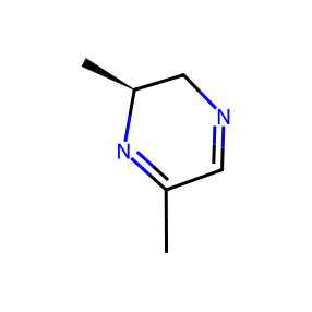 CC1=N[C@@H](C)CN=C1